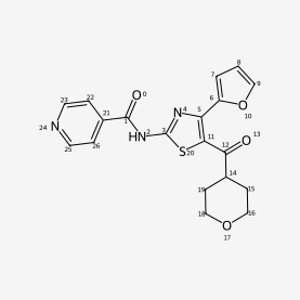 O=C(Nc1nc(-c2ccco2)c(C(=O)C2CCOCC2)s1)c1ccncc1